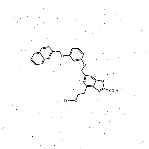 CCOCCc1cc(COc2cccc(OCc3ccc4ccccc4n3)c2)cc2oc(C(=O)O)nc12